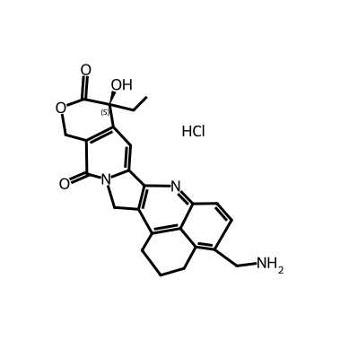 CC[C@@]1(O)C(=O)OCc2c1cc1n(c2=O)Cc2c-1nc1ccc(CN)c3c1c2CCC3.Cl